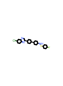 Fc1ccc(SNc2ccc(-c3ccc(-c4cnc5cc(Cl)ccc5n4)cc3)cc2)cc1